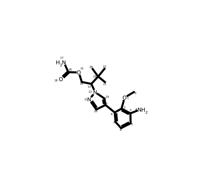 COc1c(N)cccc1-c1cnn(C(COC(N)=O)C(C)(C)C)c1